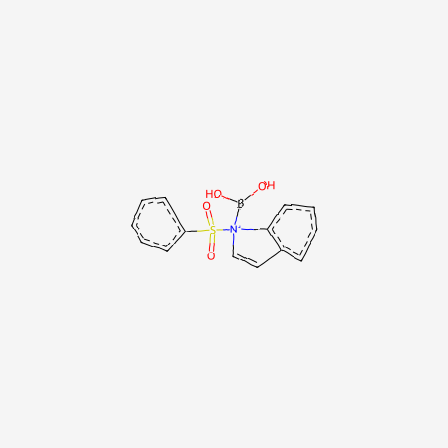 O=S(=O)(c1ccccc1)[N+]1(B(O)O)C=Cc2ccccc21